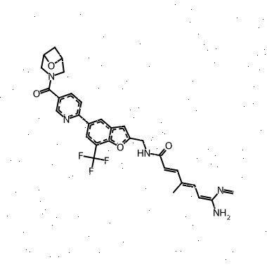 C=N\C(N)=C/C=C(C)/C=C/C(=O)NCc1cc2cc(-c3ccc(C(=O)N4CC5CC(C4)O5)cn3)cc(C(F)(F)F)c2o1